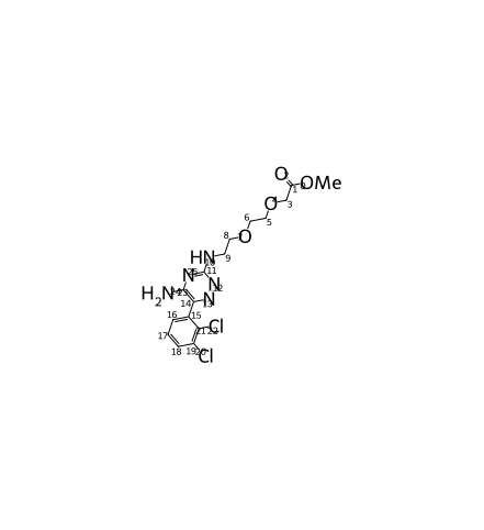 COC(=O)COCCOCCNc1nnc(-c2cccc(Cl)c2Cl)c(N)n1